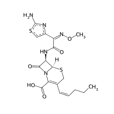 CCC/C=C\C1=C(C(=O)O)N2C(=O)[C@@H](NC(=O)/C(=N\OC)c3csc(N)n3)[C@H]2SC1